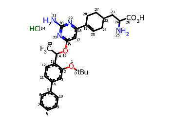 CC(C)(C)Oc1cc(-c2ccccc2)ccc1C(Oc1cc(C2=CCC(CC(N)C(=O)O)CC2)nc(N)n1)C(F)(F)F.Cl